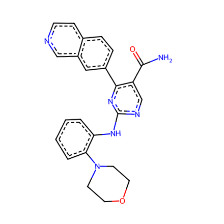 NC(=O)c1cnc(Nc2ccccc2N2CCOCC2)nc1-c1ccc2ccncc2c1